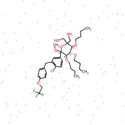 CCCCO[C@@H]1[C@@H](OCCCC)[C@](OC)(c2ccc(Cl)c(Cc3ccc(OCC(F)(F)F)cc3)c2)OC(CO)(CO)[C@H]1OCCCC